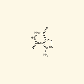 Nc1scc2c(=O)[nH][nH]c(=O)c12